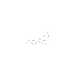 CC(C)(C)c1nc(-n2ccc(=O)[nH]c2=O)c2ncc(-c3ccc(NS(C)(=O)=O)cc3)cc2n1